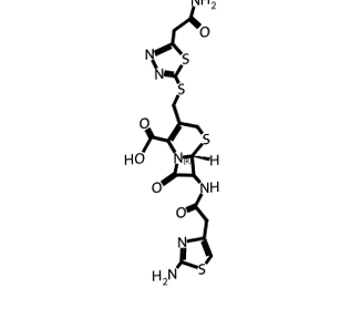 NC(=O)Cc1nnc(SCC2=C(C(=O)O)N3C(=O)C(NC(=O)Cc4csc(N)n4)[C@H]3SC2)s1